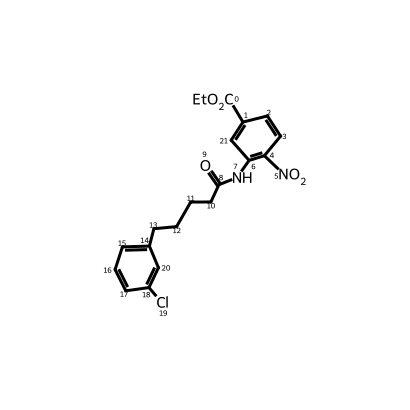 CCOC(=O)c1ccc([N+](=O)[O-])c(NC(=O)CCCCc2cccc(Cl)c2)c1